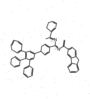 C=C(/N=C(\N=C(/C)C1=CC=CCC1)C1=CCC(c2cc(C3=CCC=CC=C3)c(C3=CCCC=C3)c(-c3ccccc3)c2)C=C1)c1ccc2c(c1)-c1ccccc1C2